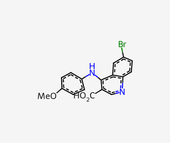 COc1ccc(Nc2c(C(=O)O)cnc3ccc(Br)cc23)cc1